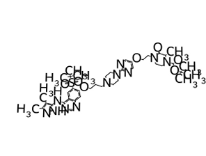 Cc1n[nH]c(Nc2ncnc3cc(OCCCN4CCN(c5ncc(OCCN6CCN(C(=O)OC(C)(C)C)C(C)C6=O)cn5)CC4)c(S(=O)(=O)C(C)(C)C)cc23)c1C